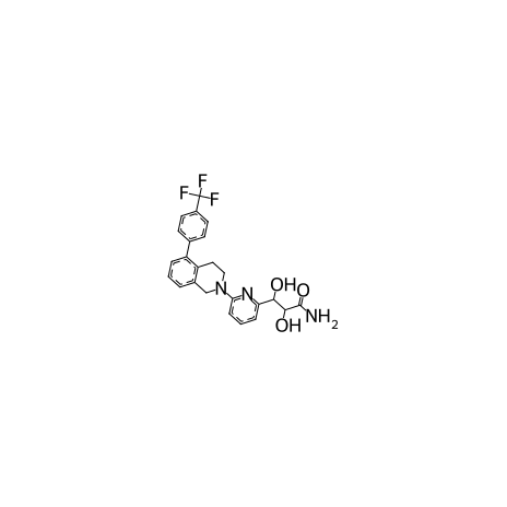 NC(=O)C(O)C(O)c1cccc(N2CCc3c(cccc3-c3ccc(C(F)(F)F)cc3)C2)n1